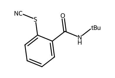 CC(C)(C)NC(=O)c1ccccc1SC#N